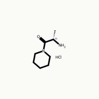 C[C@H](N)C(=O)N1CCCCC1.Cl